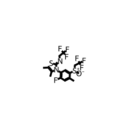 Cc1cc(F)c(-n2c(C)c(C)sc2=NCC(F)(F)F)cc1[S+]([O-])CC(F)(F)F